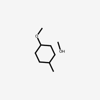 CO.COC1CCC(C)CC1